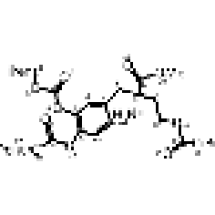 CCCC(C)OC(=O)Oc1cc(C[C@](N)(CCOC(=O)OCC(C)C)C(=O)OC)ccc1OC(=O)O[C@@H](C)CCC